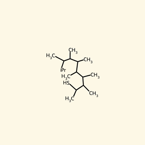 CC(C)C(C)C(C)C(C)C(C)C(C)C(C)C(C)S